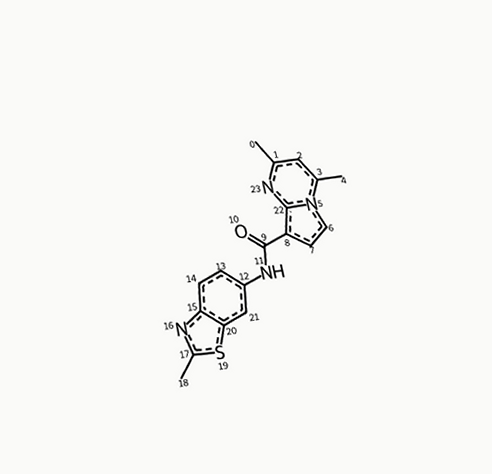 Cc1cc(C)n2ccc(C(=O)Nc3ccc4nc(C)sc4c3)c2n1